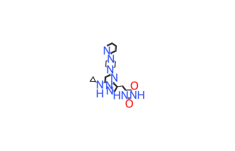 O=C1NC(=O)C(=Cc2cnn3c(NC4CC4)cc(N4CCN(c5ccccn5)CC4)nc23)N1